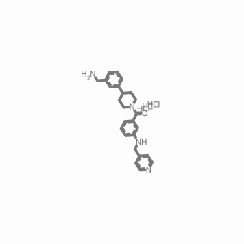 Cl.Cl.Cl.NCc1cccc(C2CCN(C(=O)c3cccc(NCc4ccncc4)c3)CC2)c1